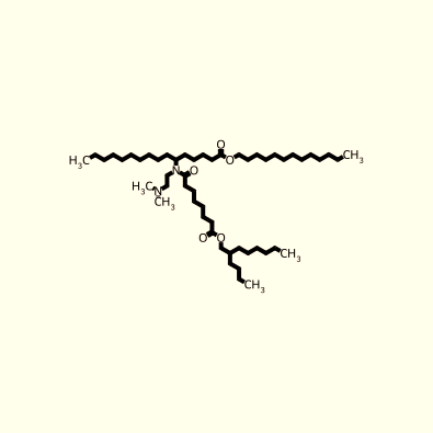 CCCCCCCCCCCCCOC(=O)CCCCC(CCCCCCCCCC)N(CCN(C)C)C(=O)CCCCCCC(=O)OCC(CCCC)CCCCCC